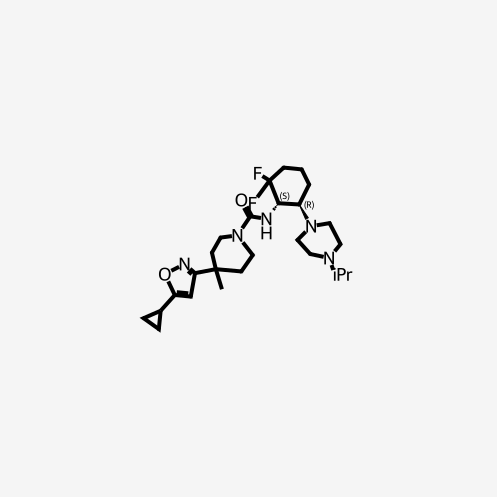 CC(C)N1CCN([C@@H]2CCCC(F)(F)[C@H]2NC(=O)N2CCC(C)(c3cc(C4CC4)on3)CC2)CC1